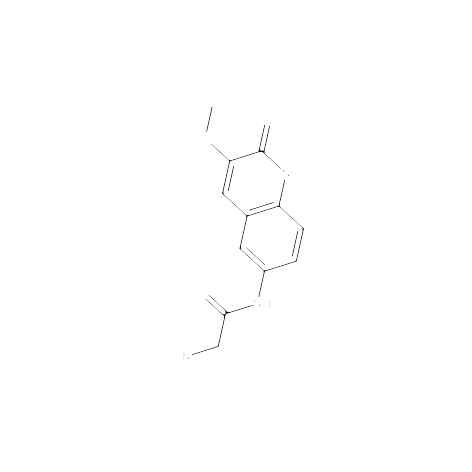 COc1cc2cc(NC(=O)CN)ccc2[nH]c1=O